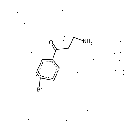 NCCC(=O)c1ccc(Br)cc1